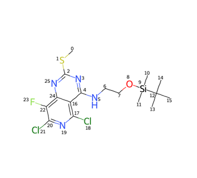 CSc1nc(NCCO[Si](C)(C)C(C)(C)C)c2c(Cl)nc(Cl)c(F)c2n1